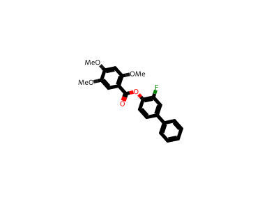 COc1cc(OC)c(C(=O)Oc2ccc(-c3ccccc3)cc2F)cc1OC